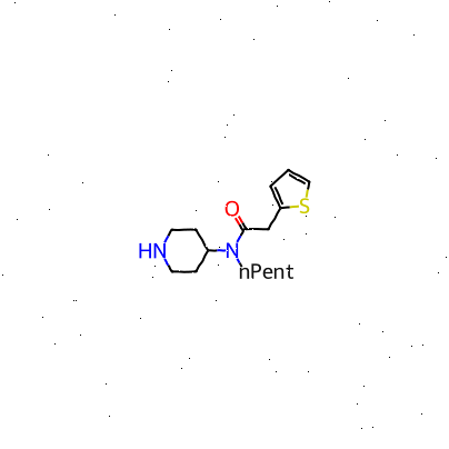 CCCCCN(C(=O)Cc1cccs1)C1CCNCC1